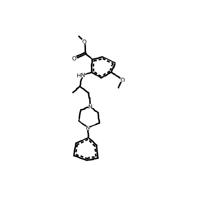 COC(=O)c1ccc(OC)cc1NC(C)CN1CCN(c2ccccc2)CC1